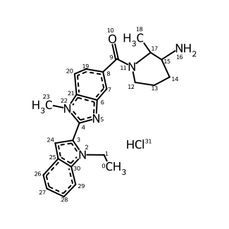 CCn1c(-c2nc3cc(C(=O)N4CCCC(N)C4C)ccc3n2C)cc2ccccc21.Cl